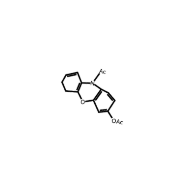 CC(=O)Oc1ccc2c(c1)OC1=C(C=CCC1)N2C(C)=O